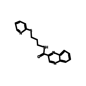 O=C(NCCCSc1ccccn1)c1cnc2ccccc2n1